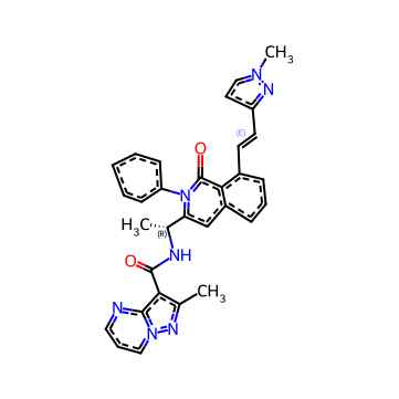 Cc1nn2cccnc2c1C(=O)N[C@H](C)c1cc2cccc(/C=C/c3ccn(C)n3)c2c(=O)n1-c1ccccc1